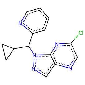 Clc1cnc2cnn(C(c3ccccn3)C3CC3)c2n1